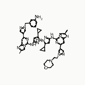 Cc1cn2c(Nc3cc(C4CC4)[nH]n3)nc(-c3cnn(CCN4CCOCC4)c3)cc2n1.Cc1cn2c(Nc3cc(C4CC4)[nH]n3)nc(-c3cnn(Cc4cccc(N)c4)c3)cc2n1